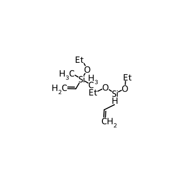 C=CC[SiH](OCC)OCC.C=C[Si](C)(C)OCC